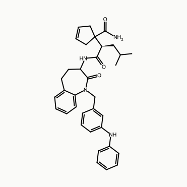 CC(C)C[C@@H](C(=O)NC1CCc2ccccc2N(Cc2cccc(Nc3ccccc3)c2)C1=O)C1(C(N)=O)CC=CC1